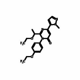 CC(OCC(F)(F)F)c1nc(-c2ccnn2C)cc(=O)n1-c1ccc(OCC(F)(F)F)cc1